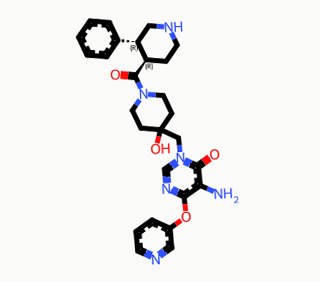 Nc1c(Oc2cccnc2)ncn(CC2(O)CCN(C(=O)[C@@H]3CCNC[C@H]3c3ccccc3)CC2)c1=O